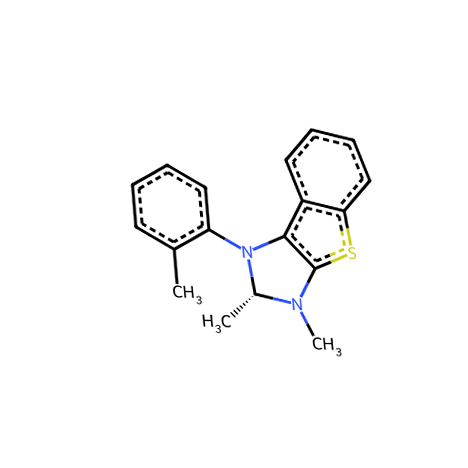 Cc1ccccc1N1c2c(sc3ccccc23)N(C)[C@@H]1C